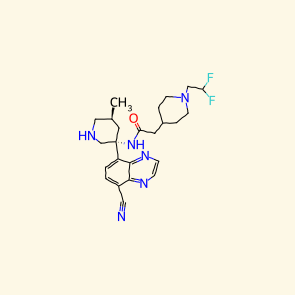 C[C@@H]1CNC[C@](NC(=O)CC2CCN(CC(F)F)CC2)(c2ccc(C#N)c3nccnc23)C1